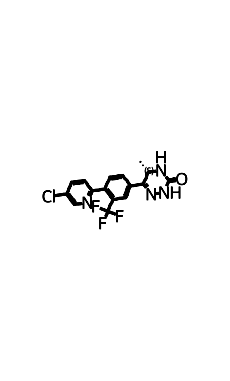 C[C@@H]1NC(=O)NN=C1c1ccc(-c2ccc(Cl)cn2)c(C(F)(F)F)c1